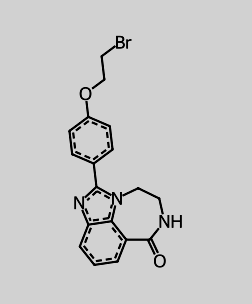 O=C1NCCn2c(-c3ccc(OCCBr)cc3)nc3cccc1c32